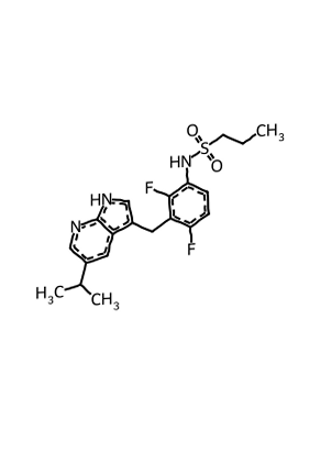 CCCS(=O)(=O)Nc1ccc(F)c(Cc2c[nH]c3ncc(C(C)C)cc23)c1F